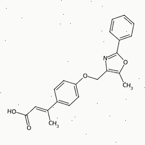 C/C(=C\C(=O)O)c1ccc(OCc2nc(-c3ccccc3)oc2C)cc1